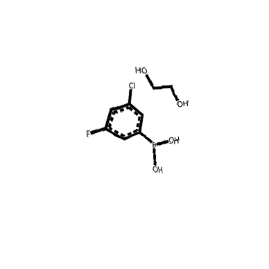 OB(O)c1cc(F)cc(Cl)c1.OCCO